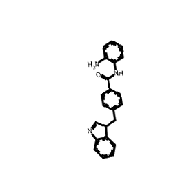 Nc1ccccc1NC(=O)c1ccc(CC2C=Nc3ccccc32)cc1